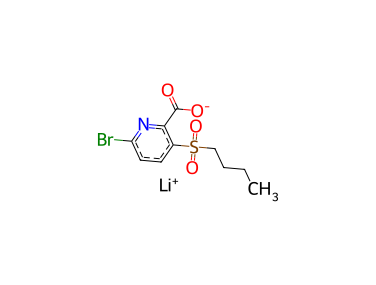 CCCCS(=O)(=O)c1ccc(Br)nc1C(=O)[O-].[Li+]